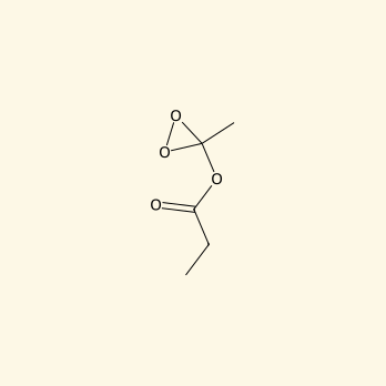 CCC(=O)OC1(C)OO1